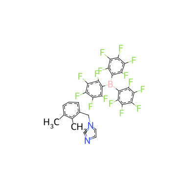 Cc1cccc(Cn2ccnc2)c1C.Fc1c(F)c(F)c(B(c2c(F)c(F)c(F)c(F)c2F)c2c(F)c(F)c(F)c(F)c2F)c(F)c1F